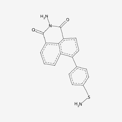 NSc1ccc(-c2ccc3c4c(cccc24)C(=O)N(N)C3=O)cc1